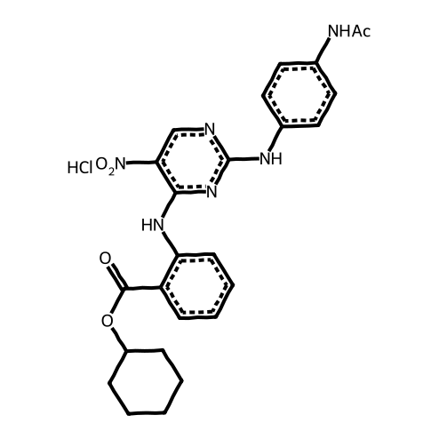 CC(=O)Nc1ccc(Nc2ncc([N+](=O)[O-])c(Nc3ccccc3C(=O)OC3CCCCC3)n2)cc1.Cl